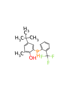 Cc1cc(C(C)(C)C)cc(Pc2ccccc2C(F)(F)F)c1O